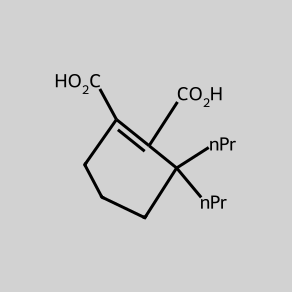 CCCC1(CCC)CCCC(C(=O)O)=C1C(=O)O